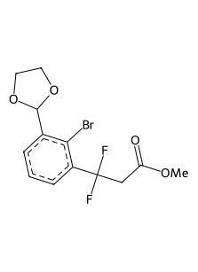 COC(=O)CC(F)(F)c1cccc(C2OCCO2)c1Br